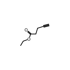 C#CCCC(=O)OCC